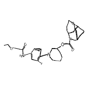 CCOC(=O)Nc1ccc(N2CCCC(OC(=O)N3C4CC5CC3CC(C4)O5)C2)c(F)c1